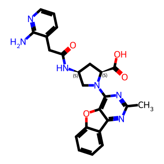 Cc1nc(N2C[C@@H](NC(=O)Cc3cccnc3N)C[C@H]2C(=O)O)c2oc3ccccc3c2n1